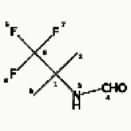 CC(C)(NC=O)C(F)(F)F